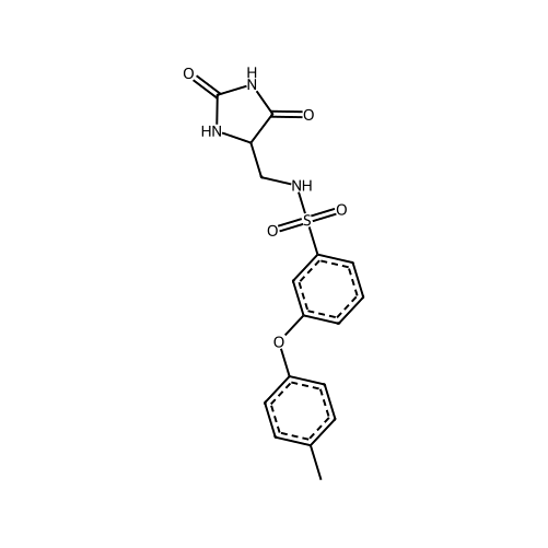 Cc1ccc(Oc2cccc(S(=O)(=O)NCC3NC(=O)NC3=O)c2)cc1